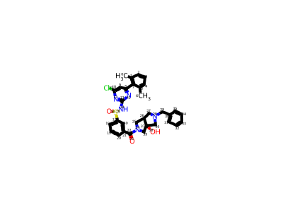 Cc1cccc(C)c1-c1cc(Cl)nc(N[S+]([O-])c2cccc(C(=O)N3CC4CN(Cc5ccccc5)CC4(O)C3)c2)n1